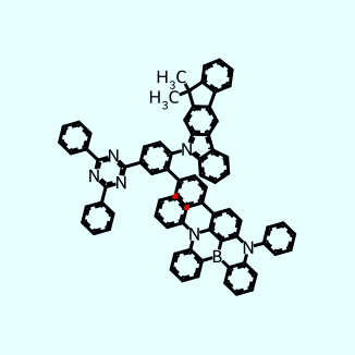 CC1(C)c2ccccc2-c2cc3c4ccccc4n(-c4ccc(-c5nc(-c6ccccc6)nc(-c6ccccc6)n5)cc4-c4ccc(-c5ccc6c7c5N(c5ccccc5)c5ccccc5B7c5ccccc5N6c5ccccc5)cc4)c3cc21